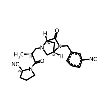 [C-]#[N+]c1cccc(CN2C(=O)[C@@H]3C[C@H]2CN3C[C@H](C)C(=O)N2CCC[C@H]2C#N)c1